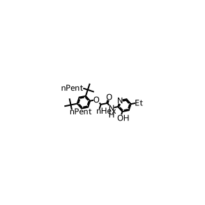 CCCCCCC(Oc1ccc(C(C)(C)CCCCC)cc1C(C)(C)CCCCC)C(=O)Nc1ncc(CC)cc1O